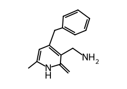 C=C1NC(C)=CC(Cc2ccccc2)=C1CN